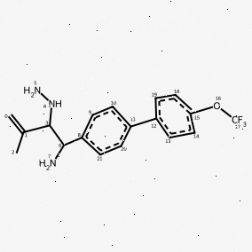 C=C(C)C(NN)C(N)c1ccc(-c2ccc(OC(F)(F)F)cc2)cc1